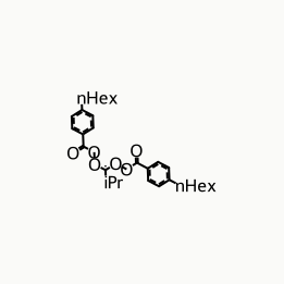 [CH2]C(C)[C](OOC(=O)c1ccc(CCCCCC)cc1)OOC(=O)c1ccc(CCCCCC)cc1